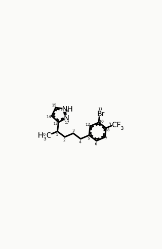 CC(CCCc1ccc(C(F)(F)F)c(Br)c1)c1cc[nH]n1